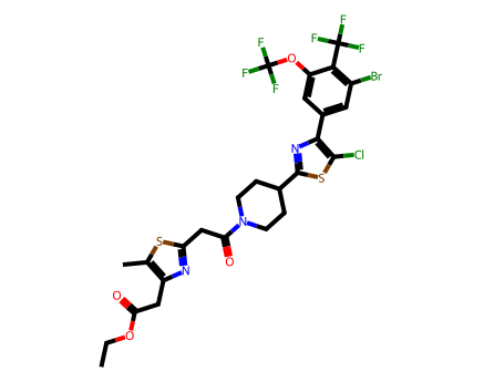 CCOC(=O)Cc1nc(CC(=O)N2CCC(c3nc(-c4cc(Br)c(C(F)(F)F)c(OC(F)(F)F)c4)c(Cl)s3)CC2)sc1C